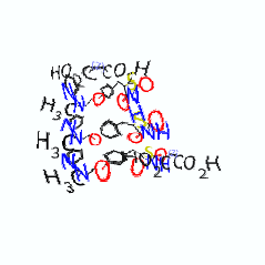 CN(CCOc1ccc(CC2SC(=O)NC2=O)cc1)c1ccccn1.CN(CCOc1ccc(CC2SC(=O)NC2=O)cc1)c1ccccn1.CN(CCOc1ccc(CC2SC(=O)NC2=O)cc1)c1ccccn1.O=C(O)/C=C\C(=O)O.O=C(O)/C=C\C(=O)O